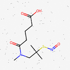 CN(CC(C)(C)SN=O)C(=O)CCCC(=O)O